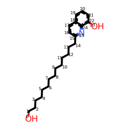 OCCCCCCCCCCCCCCc1ccc2cccc(O)c2n1